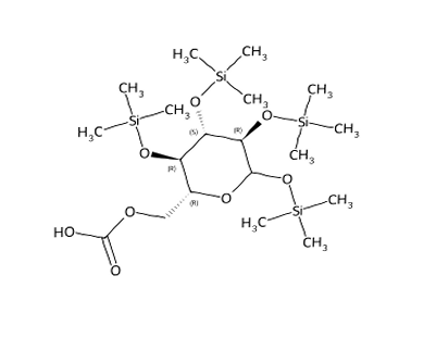 C[Si](C)(C)OC1O[C@H](COC(=O)O)[C@@H](O[Si](C)(C)C)[C@H](O[Si](C)(C)C)[C@H]1O[Si](C)(C)C